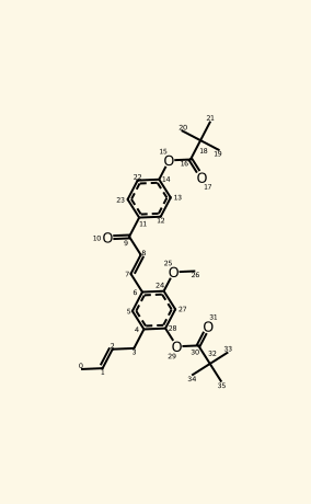 C/C=C/Cc1cc(/C=C/C(=O)c2ccc(OC(=O)C(C)(C)C)cc2)c(OC)cc1OC(=O)C(C)(C)C